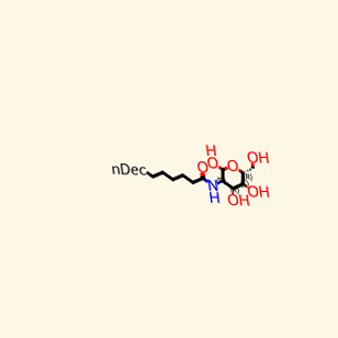 CCCCCCCCCCCCCCCC(=O)N[C@H]1C(O)O[C@H](CO)[C@@H](O)[C@@H]1O